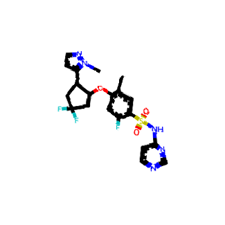 Cc1cc(S(=O)(=O)Nc2ccncn2)c(F)cc1OC1CC(F)(F)CC1c1ccnn1C